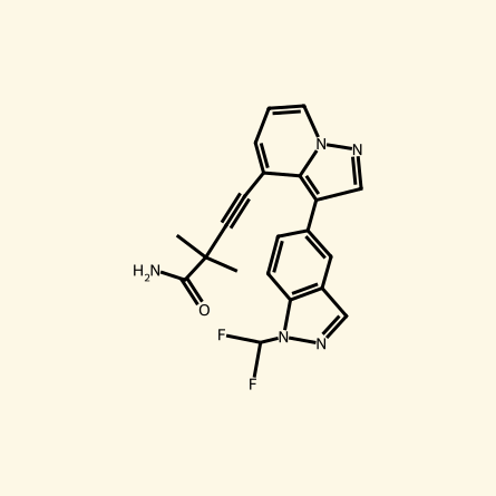 CC(C)(C#Cc1cccn2ncc(-c3ccc4c(cnn4C(F)F)c3)c12)C(N)=O